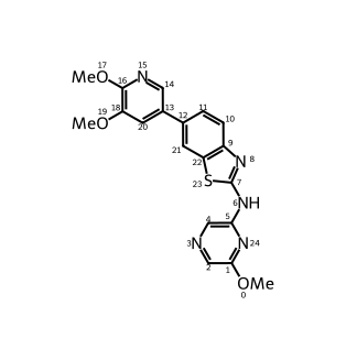 COc1cncc(Nc2nc3ccc(-c4cnc(OC)c(OC)c4)cc3s2)n1